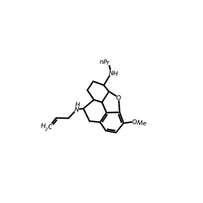 C=CCNC1Cc2ccc(OC)c3c2C2C1CCC(NCCC)C2O3